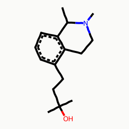 CC1c2cccc(CCC(C)(C)O)c2CCN1C